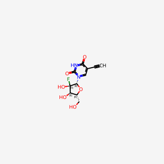 C#Cc1cn([C@@H]2O[C@H](CO)[C@@H](O)[C@]2(O)F)c(=O)[nH]c1=O